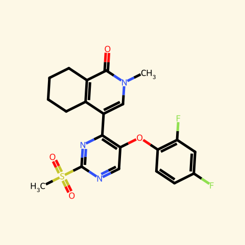 Cn1cc(-c2nc(S(C)(=O)=O)ncc2Oc2ccc(F)cc2F)c2c(c1=O)CCCC2